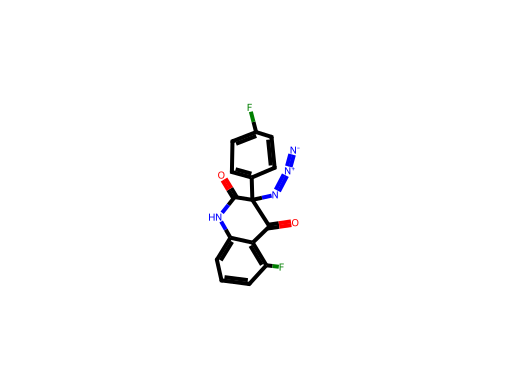 [N-]=[N+]=NC1(c2ccc(F)cc2)C(=O)Nc2cccc(F)c2C1=O